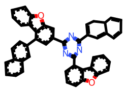 C1=CC2=CC(c3nc(-c4cc(-c5ccc6ccccc6c5)c5c(c4)oc4ccccc45)nc(-c4cccc5oc6ccccc6c45)n3)=CCC2C=C1